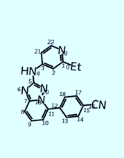 CCc1cc(Nc2nc3cccc(-c4ccc(C#N)cc4)n3n2)ccn1